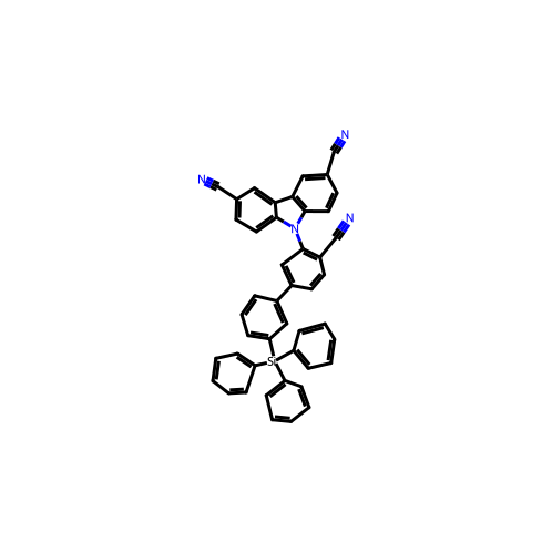 N#Cc1ccc2c(c1)c1cc(C#N)ccc1n2-c1cc(-c2cccc([Si](c3ccccc3)(c3ccccc3)c3ccccc3)c2)ccc1C#N